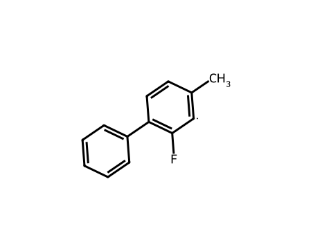 Cc1[c]c(F)c(-c2ccccc2)cc1